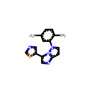 Cc1ccc([N+](=O)[O-])cc1-n1ccc2ncc(-c3cncs3)n21